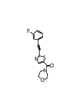 O=C(c1cnc(C#Cc2cccc(F)c2)s1)N1CCOCC1